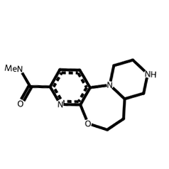 CNC(=O)c1ccc2c(n1)OCCC1CNCCN21